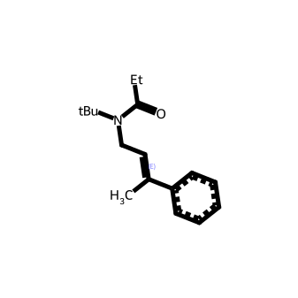 CCC(=O)N(C/C=C(\C)c1ccccc1)C(C)(C)C